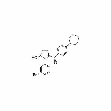 O=C(c1ccc(C2CCCCC2)cc1)N1CCN(O)C1c1cccc(Br)c1